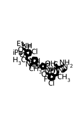 CCNC(=O)c1c(F)c(Cl)cc([C@H](C)c2nc(C)c3c(NC4C[C@@H](O)[C@@H](NC(=O)c5c(F)c(Cl)cc([C@H](C)c6nc(C)c7c(N)nccn67)c5OC(C)C)C4)nccn23)c1OC(C)C